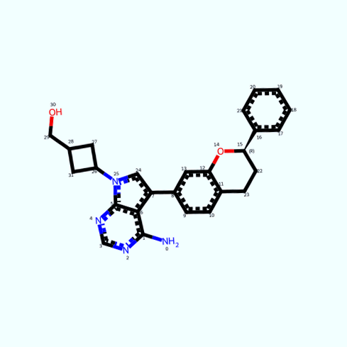 Nc1ncnc2c1c(-c1ccc3c(c1)O[C@@H](c1ccccc1)CC3)cn2C1CC(CO)C1